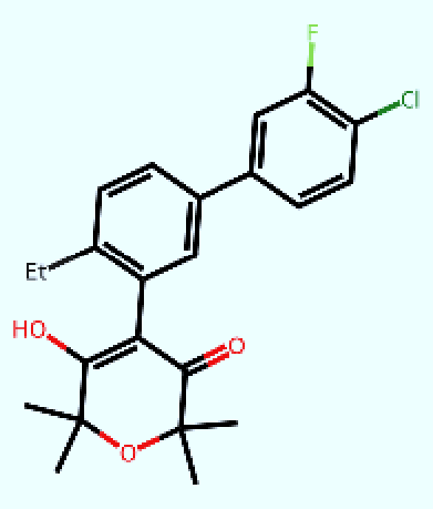 CCc1ccc(-c2ccc(Cl)c(F)c2)cc1C1=C(O)C(C)(C)OC(C)(C)C1=O